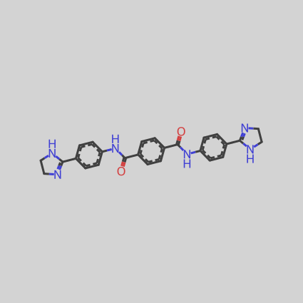 O=C(Nc1ccc(C2=NCCN2)cc1)c1ccc(C(=O)Nc2ccc(C3=NCCN3)cc2)cc1